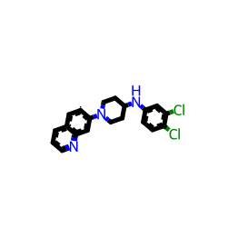 Clc1ccc(NC2CCN(c3[c]cc4cccnc4c3)CC2)cc1Cl